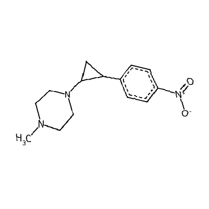 CN1CCN(C2C[C]2c2ccc([N+](=O)[O-])cc2)CC1